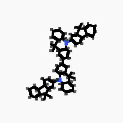 CC1(C)c2ccccc2-c2ccc(N3c4ccccc4C(C)(C)c4cc(-c5ccc6c(c5)C(C)(C)c5ccccc5N6c5ccc6c(c5)C(C)(C)c5ccccc5-6)ccc43)cc21